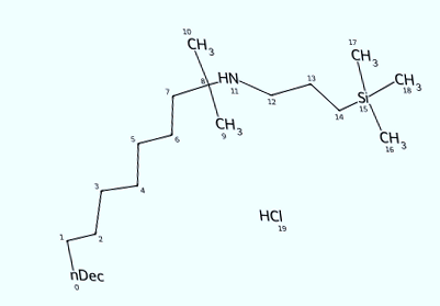 CCCCCCCCCCCCCCCCCC(C)(C)NCCC[Si](C)(C)C.Cl